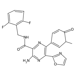 CC1C=C(c2nc(C(=O)NCc3c(F)cccc3F)c(N)nc2-c2ncco2)C=CC1=O